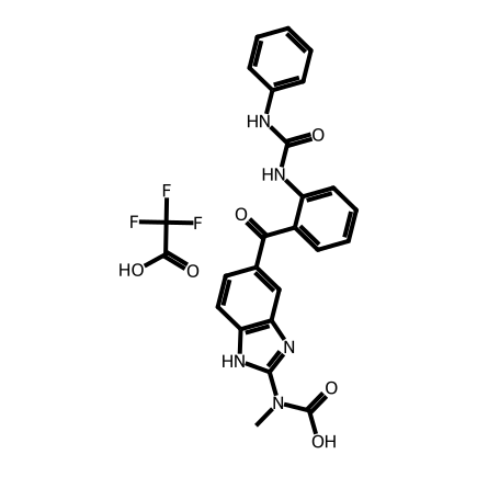 CN(C(=O)O)c1nc2cc(C(=O)c3ccccc3NC(=O)Nc3ccccc3)ccc2[nH]1.O=C(O)C(F)(F)F